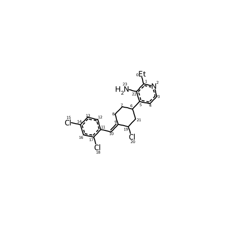 CCc1nccc(C2CCC(=Cc3ccc(Cl)cc3Cl)C(Cl)C2)c1N